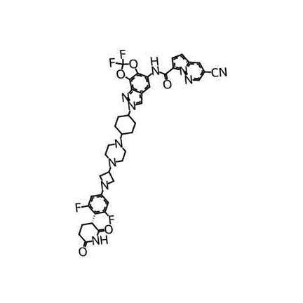 N#Cc1cnn2c(C(=O)Nc3cc4cn(C5CCC(N6CCN(C7CN(c8cc(F)c([C@H]9CCC(=O)NC9=O)c(F)c8)C7)CC6)CC5)nc4c4c3OC(F)(F)O4)ccc2c1